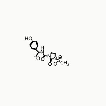 CS(=O)(=O)N1CCN(C(=O)NC([C]=O)c2ccc(O)cc2)C1=O